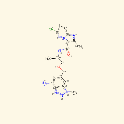 Cc1nc2ccc(Cl)nn2c1C(=O)N[C@H](C)COCc1cc(N)c2nnn(C)c2c1